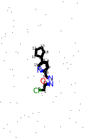 ClCc1nnc(-c2ccc(C3CCCC3)cn2)o1